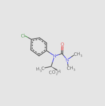 C[C@H](C(=O)O)N(C(=O)N(C)C)c1ccc(Cl)cc1